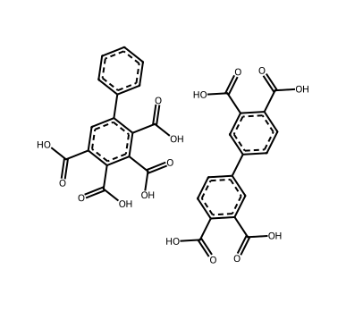 O=C(O)c1cc(-c2ccccc2)c(C(=O)O)c(C(=O)O)c1C(=O)O.O=C(O)c1ccc(-c2ccc(C(=O)O)c(C(=O)O)c2)cc1C(=O)O